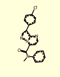 CN(C(=O)c1ccnc2c(-c3ccc(Cl)cc3)cnn12)c1ccccc1